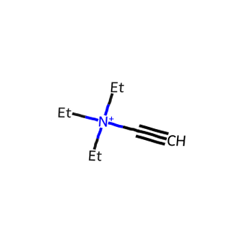 C#C[N+](CC)(CC)CC